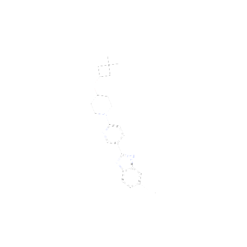 Cc1ccc2nc(-c3ccc(N4CCC(OC5CC(C(=O)O)(C(=O)O)C5)CC4)nc3)[nH]c2c1